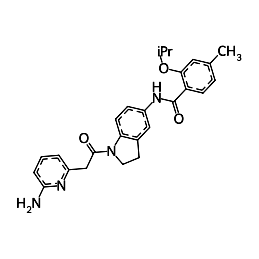 Cc1ccc(C(=O)Nc2ccc3c(c2)CCN3C(=O)Cc2cccc(N)n2)c(OC(C)C)c1